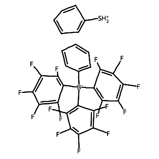 Fc1c(F)c(F)c([B-](c2ccccc2)(c2c(F)c(F)c(F)c(F)c2F)c2c(F)c(F)c(F)c(F)c2F)c(F)c1F.[SH2+]c1ccccc1